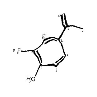 C=C(C)c1ccc(O)c(F)c1